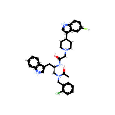 CC(=O)N(Cc1ccccc1Cl)C[C@@H](Cc1c[nH]c2ccccc12)NC(=O)CN1CCC(c2c[nH]c3ccc(F)cc23)CC1